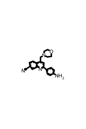 N#Cc1ccc2c(CN3CCOCC3)cc(-c3ccc(N)cc3)nc2c1